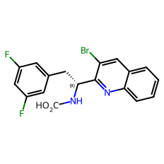 O=C(O)N[C@H](Cc1cc(F)cc(F)c1)c1nc2ccccc2cc1Br